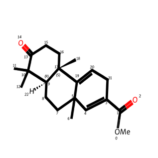 COC(=O)C1=CC2(C)CC[C@H]3C(C)(C)C(=O)CC[C@]3(C)C2=CC1